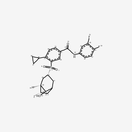 C[C@H]1CC2C[C@@H](S(=O)(=O)c3cc(C(=O)Nc4ccc(F)c(F)c4)ccc3C3CC3)C[C@H]1[C@]2(C)O